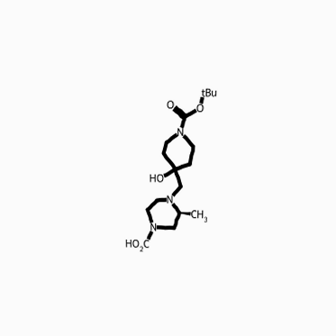 C[C@H]1CN(C(=O)O)CCN1CC1(O)CCN(C(=O)OC(C)(C)C)CC1